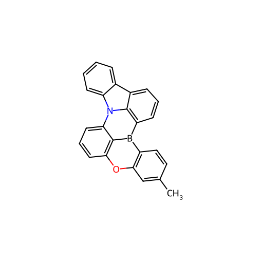 Cc1ccc2c(c1)Oc1cccc3c1B2c1cccc2c4ccccc4n-3c12